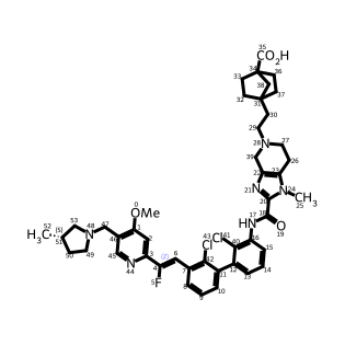 COc1cc(/C(F)=C/c2cccc(-c3cccc(NC(=O)c4nc5c(n4C)CCN(CCC46CCC(C(=O)O)(CC4)C6)C5)c3Cl)c2Cl)ncc1CN1CC[C@H](C)C1